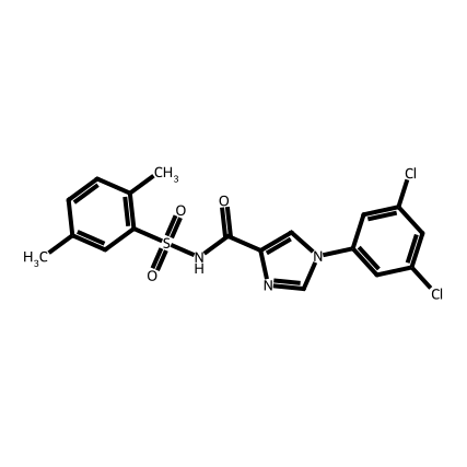 Cc1ccc(C)c(S(=O)(=O)NC(=O)c2cn(-c3cc(Cl)cc(Cl)c3)cn2)c1